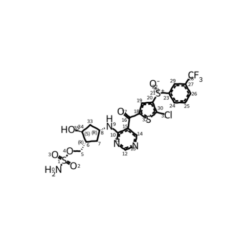 NS(=O)(=O)OC[C@H]1C[C@@H](Nc2ncncc2C(=O)c2cc([S@+]([O-])c3cccc(C(F)(F)F)c3)c(Cl)s2)C[C@@H]1O